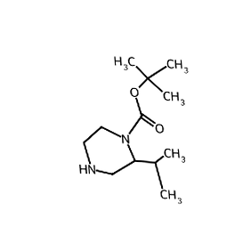 CC(C)C1CNCCN1C(=O)OC(C)(C)C